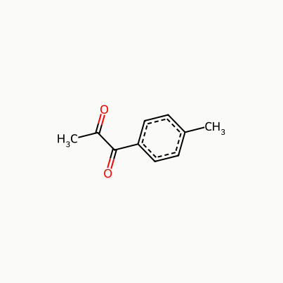 CC(=O)C(=O)c1ccc(C)cc1